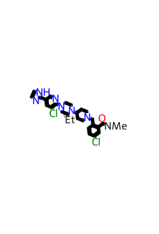 CC[C@H]1CN(c2ncc(-c3ncc[nH]3)cc2Cl)CCN1C1CCN(Cc2ccc(Cl)cc2C(=O)NC)CC1